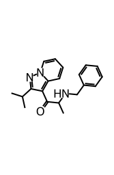 CC(NCc1ccccc1)C(=O)c1c(C(C)C)nn2ccccc12